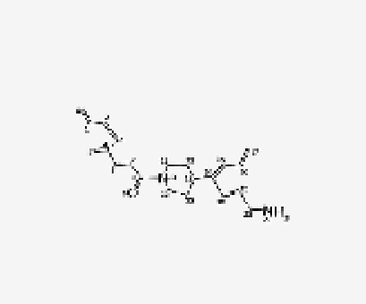 C=C/C=C\C(=C)/C=C/C(=O)N1CCC(C(=C/C=C)/C=C/CN)CC1